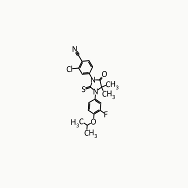 CC(C)Oc1ccc(N2C(=S)N(c3ccc(C#N)c(Cl)c3)C(=O)C2(C)C)cc1F